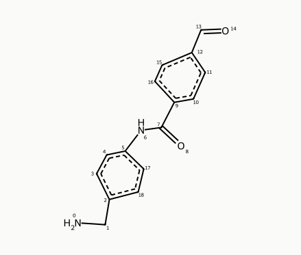 NCc1ccc(NC(=O)c2ccc(C=O)cc2)cc1